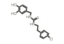 Oc1ccc(CNC(=S)NCCc2ccc(Cl)cc2)cc1O